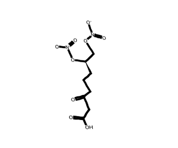 O=C(O)CC(=O)CCC[C@H](CO[N+](=O)[O-])O[N+](=O)[O-]